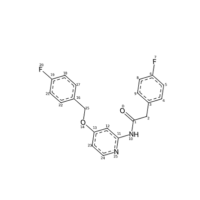 O=C(Cc1ccc(F)cc1)Nc1cc(OCc2ccc(F)cc2)ccn1